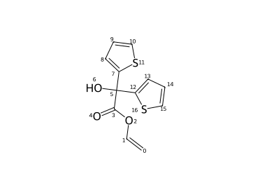 C=COC(=O)C(O)(c1cccs1)c1cccs1